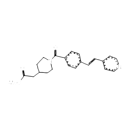 COC(=O)CC1CCN(C(=O)c2ccc(/C=C/c3ccncc3)cc2)CC1